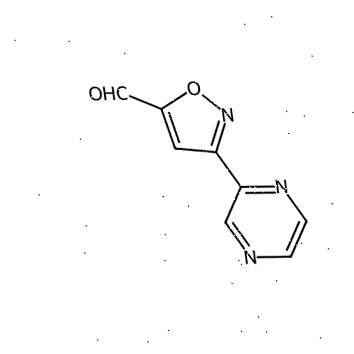 O=Cc1cc(-c2cnccn2)no1